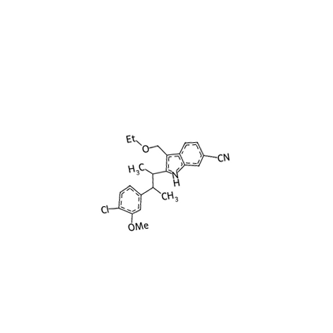 CCOCc1c(C(C)C(C)c2ccc(Cl)c(OC)c2)[nH]c2cc(C#N)ccc12